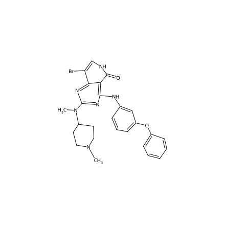 CN1CCC(N(C)c2nc(Nc3cccc(Oc4ccccc4)c3)c3c(=O)[nH]cc(Br)c3n2)CC1